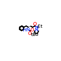 CCN(C(=O)CC[C@@H](Cc1ccccc1)NC(=O)OC(C)(C)C)N1CCCC1